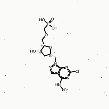 CCCNc1nc(Cl)nc2c1cnn2C[C@@H]1C[C@H](O)[C@@H](COCP(=O)(O)O)O1